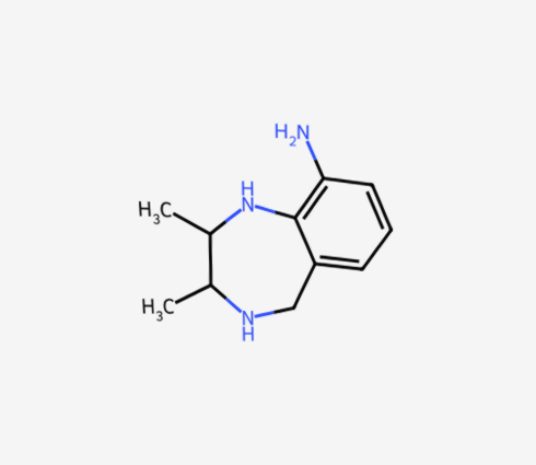 CC1NCc2cccc(N)c2NC1C